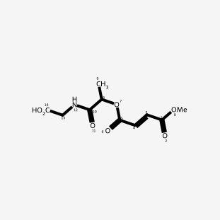 COC(=O)C=CC(=O)OC(C)C(=O)NCC(=O)O